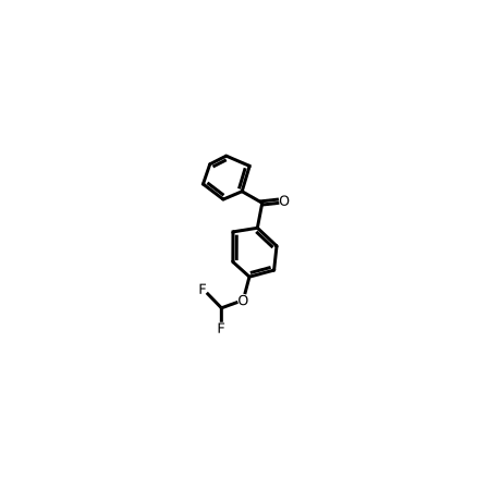 O=C(c1ccccc1)c1ccc(OC(F)F)cc1